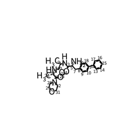 C[C@H](NC(=O)[C@@H](N)Cc1ccc(-c2ccccc2)cc1)C(=O)N[C@@H](C)C(=O)N1CCOCC1